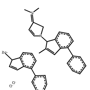 CC1=Cc2c(-c3ccccc3)cccc2C1N1C=CC(=[Si](C)C)C1.[Cl-].[Cl-].[Zr+2][CH]1C=Cc2c(-c3ccccc3)cccc21